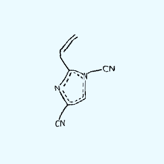 C=Cc1nc(C#N)cn1C#N